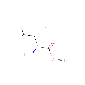 CC(C)(C)OC(=O)[C@@H](N)CC(F)F.Cl